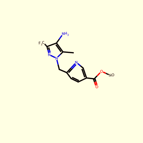 Cc1c(N)c(C(F)(F)F)nn1Cc1ccc(C(=O)ON=O)cn1